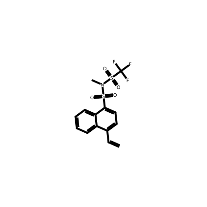 C=Cc1ccc(S(=O)(=O)N(C)S(=O)(=O)C(F)(F)F)c2ccccc12